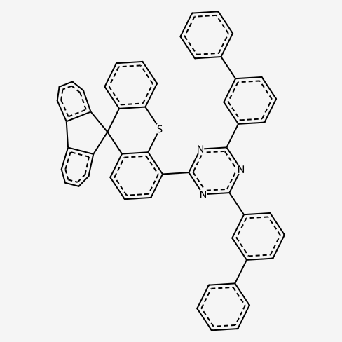 c1ccc(-c2cccc(-c3nc(-c4cccc(-c5ccccc5)c4)nc(-c4cccc5c4Sc4ccccc4C54c5ccccc5-c5ccccc54)n3)c2)cc1